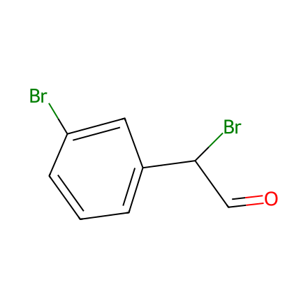 O=CC(Br)c1cccc(Br)c1